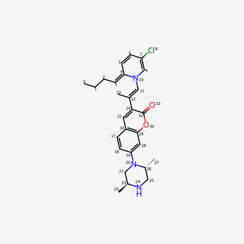 CCC/C=C1\C=CC(Cl)=CN1/C=C(\C)c1cc2ccc(N3C[C@H](C)NC[C@H]3C)cc2oc1=O